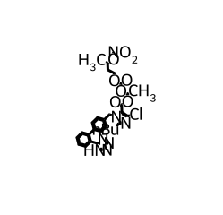 CCCCc1nc(Cl)c(C(=O)OC(C)OC(=O)OCC[C@H](C)O[N+](=O)[O-])n1Cc1ccc(-c2ccccc2-c2nnn[nH]2)cc1